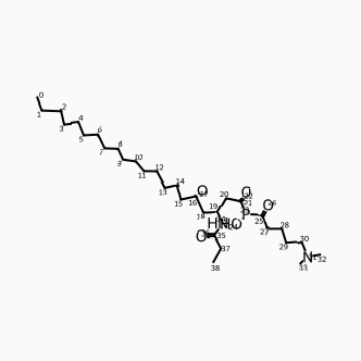 CCCCCCCCCCCCCCCCC(=O)CC(CC(=O)P(O)C(=O)CCCCN(C)C)NC(=O)CC